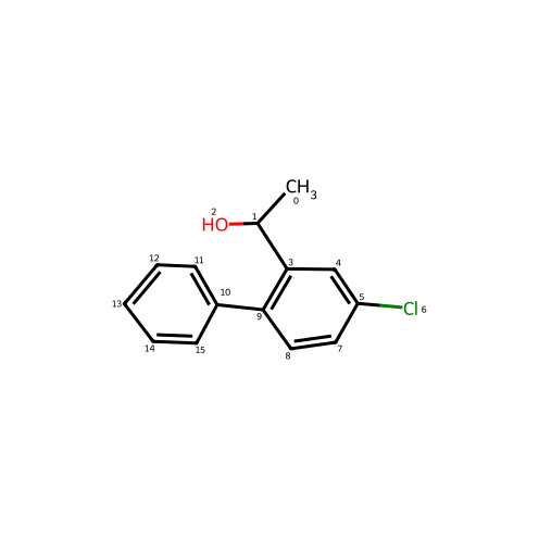 CC(O)c1cc(Cl)ccc1-c1ccccc1